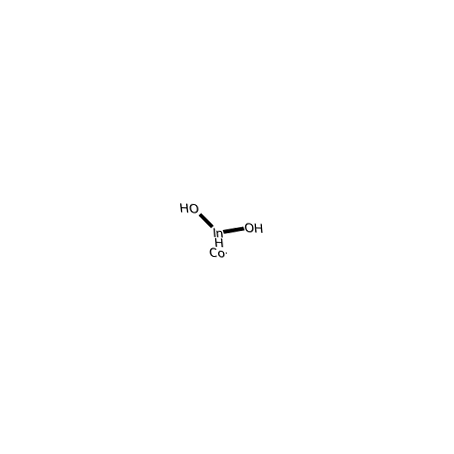 [Co].[OH][InH][OH]